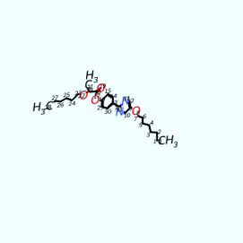 CCCCCCCCOc1cnc(-c2ccc(OC(=O)C(C)OCCCCCC)cc2)nc1